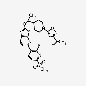 CC(C)c1noc(N2CCC(C(C)Oc3nc4ccc(-c5ccc(S(C)(=O)=O)nc5F)nc4s3)CC2)n1